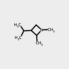 CC(C)C1CN(C)C1C